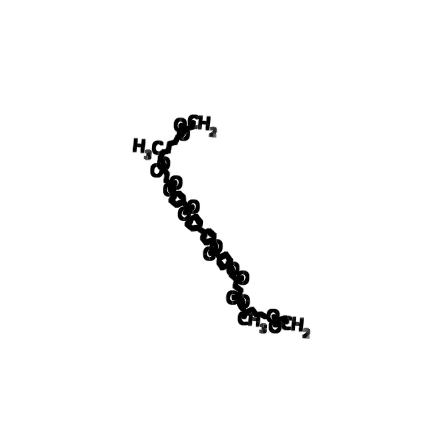 C=CC(=O)OCCCCC(C)COC(=O)CCC(=O)COc1ccc(C(=O)Oc2ccc(-c3ccc(OC(=O)c4ccc(OC(=O)CCC(=O)OCC(C)CCCCOC(=O)C=C)cc4)cc3)cc2)cc1